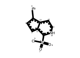 CC(C)c1ccc2c(S(=O)(=O)Cl)[nH]ccc1-2